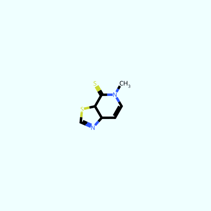 CN1C=CC2N=CSC2C1=S